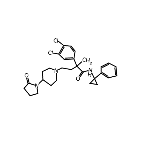 CC(CCN1CCC(N2CCCC2=O)CC1)(C(=O)NC1(c2ccccc2)CC1)c1ccc(Cl)c(Cl)c1